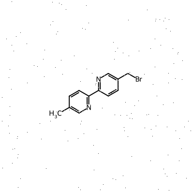 Cc1ccc(-c2ccc(CBr)cn2)nc1